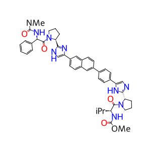 CNC(=O)N[C@@H](C(=O)N1CCC[C@H]1c1nc(-c2ccc3cc(-c4ccc(-c5cnc([C@@H]6CCCN6C(=O)[C@@H](NC(=O)OC)C(C)C)[nH]5)cc4)ccc3c2)c[nH]1)c1ccccc1